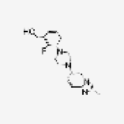 Cc1cn2cc(N3CCN(C4CC=CC(CO)=C4F)CC3)ccc2n1